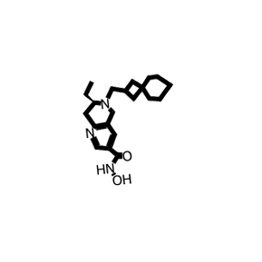 CC[C@@H]1Cc2ncc(C(=O)NO)cc2CN1CC1CC2(CCCCC2)C1